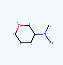 [CH2]CN(C)C1CCCOC1